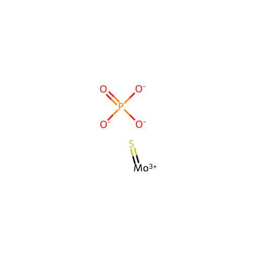 O=P([O-])([O-])[O-].[S]=[Mo+3]